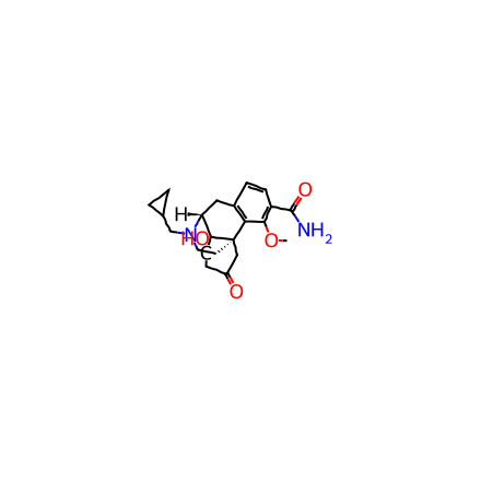 COc1c(C(N)=O)ccc2c1[C@]13CCN(CC4CC4)[C@H](C2)[C@]1(O)CCC(=O)C3